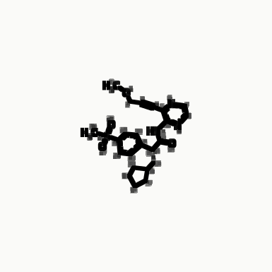 COCC#Cc1nccnc1NC(=O)[C@H](CC1CCCC1)c1ccc(S(C)(=O)=O)cc1